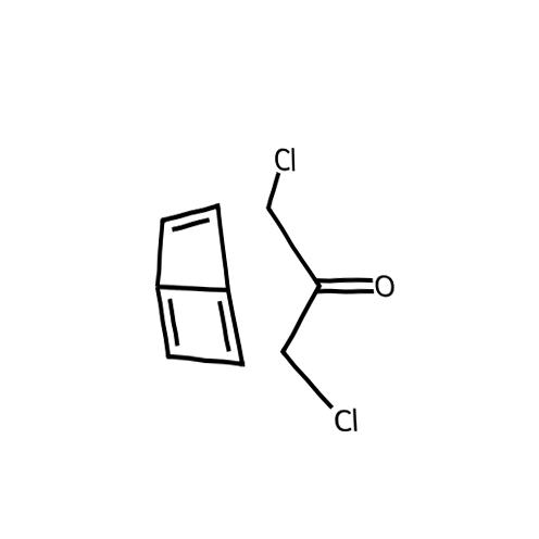 O=C(CCl)CCl.c1cc2ccc1-2